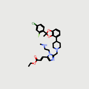 CCOC(=O)/C=C/c1cnc(CN2CCC(c3cccc4c3OC(C)(c3ccc(Cl)cc3F)O4)CC2)n1CCNC